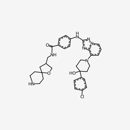 O=C(NCC1COC2(CCNCC2)C1)c1ccc(Nc2nc3c(N4CCC(O)(c5ccc(Cl)cc5)CC4)cccn3n2)cc1